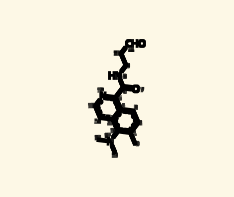 Cc1ccc2c(C(=O)NCCC=O)nccc2c1N(C)C